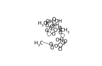 CCCCCOC(=O)COc1cc(N2C(=O)C3=C(CCCC3)C2=O)c(F)cc1Cl.CP(=O)(O)CCC(N)C(=O)O.CS(=O)(=O)c1ccc(C(=O)C2C(=O)CCCC2=O)c(Cl)c1